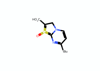 CC(C)(C)C1=NC2=S(=O)=C(C(=O)O)CN2C=C1